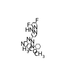 COC1CCCCC1N(C)c1nc(-c2ccnc(Nc3ncc(F)cc3F)c2)nc2cncc(C3CC3)c12